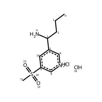 CCCC(N)c1cncc(S(C)(=O)=O)c1.Cl.Cl